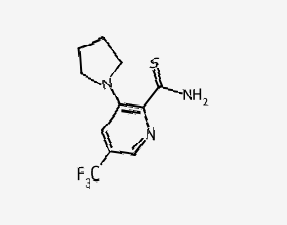 NC(=S)c1ncc(C(F)(F)F)cc1N1CCCC1